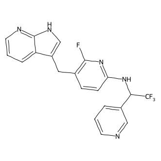 Fc1nc(NC(c2cccnc2)C(F)(F)F)ccc1Cc1c[nH]c2ncccc12